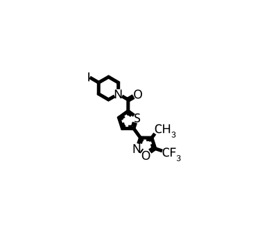 Cc1c(-c2ccc(C(=O)N3CCC(I)CC3)s2)noc1C(F)(F)F